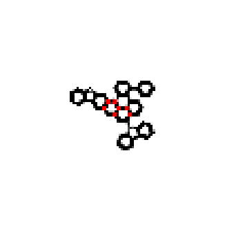 c1ccc(-c2ccccc2-c2c(-c3ccccc3)cccc2N(c2ccc(-n3c4ccccc4c4ccccc43)cc2)c2ccc3c(c2)sc2ccccc23)cc1